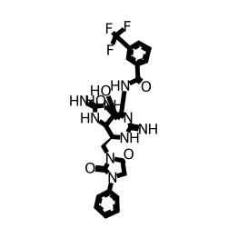 N=C1NC2[C@H](CN3C(=O)CN(c4ccccc4)C3=O)NC(=N)N3CC(NC(=O)c4cccc(C(F)(F)F)c4)C(O)(O)C23N1